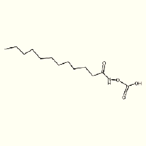 CCCCCCCCCCCC(=O)NOC(=O)O